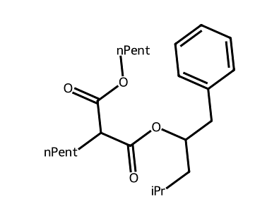 CCCCCOC(=O)C(CCCCC)C(=O)OC(Cc1ccccc1)CC(C)C